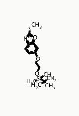 CSc1nc2ccc(OCCO[Si](C)(C)C(C)(C)C)cc2o1